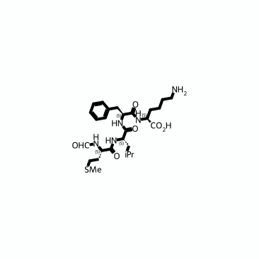 CSCC[C@H](NC=O)C(=O)N[C@@H](CC(C)C)C(=O)N[C@@H](Cc1ccccc1)C(=O)N[C@@H](CCCCN)C(=O)O